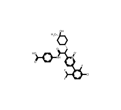 C[C@]1(O)CC[C@H](CC(C(=O)Nc2ccc(C(=O)O)cc2)c2ccc(-c3c(C(F)F)ccc(Cl)c3F)c[n+]2[O-])CC1